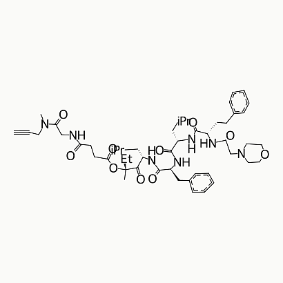 C#CCN(C)C(=O)CNC(=O)CCC(=O)O[C@](C)(CC)C(=O)[C@H](CC(C)C)NC(=O)[C@H](Cc1ccccc1)NC(=O)[C@H](CC(C)C)NC(=O)[C@H](CCc1ccccc1)NC(=O)CN1CCOCC1